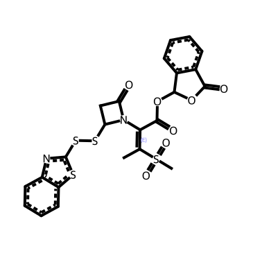 C/C(=C(/C(=O)OC1OC(=O)c2ccccc21)N1C(=O)CC1SSc1nc2ccccc2s1)S(C)(=O)=O